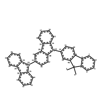 CC1(C)c2ccccc2-c2ccc(-n3c4ccccc4c4cc(-n5c6ccccc6c6ccccc65)ccc43)cc21